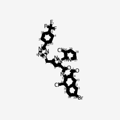 O=c1oc(-c2cc(Cn3nnc(-c4ccc(C(F)(F)F)cc4)n3)nn2-c2ncccc2Cl)nc2c(Cl)c3ccc(Br)cc3cc12